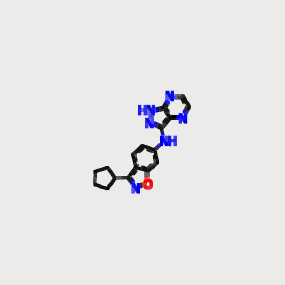 c1cnc2c(Nc3ccc4c(C5CCCC5)noc4c3)n[nH]c2n1